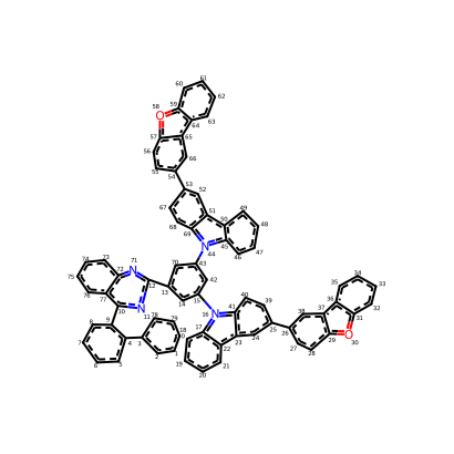 c1ccc(-c2ccccc2-c2nc(-c3cc(-n4c5ccccc5c5cc(-c6ccc7oc8ccccc8c7c6)ccc54)cc(-n4c5ccccc5c5cc(-c6ccc7oc8ccccc8c7c6)ccc54)c3)nc3ccccc23)cc1